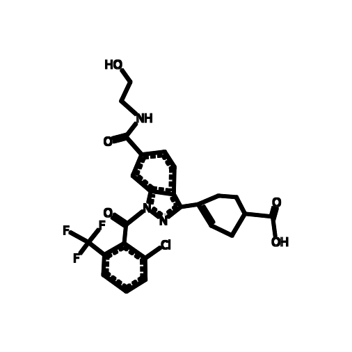 O=C(NCCO)c1ccc2c(C3=CCC(C(=O)O)CC3)nn(C(=O)c3c(Cl)cccc3C(F)(F)F)c2c1